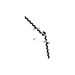 CCCCCCCCCC(=O)NCCCn1cc[n+](CCCNC(=O)CCCCCCCCC)c1.[Cl-]